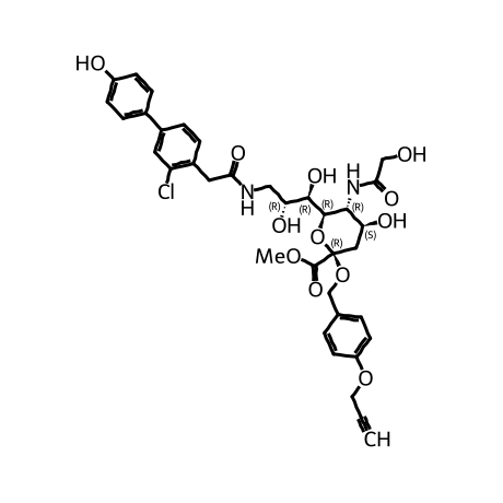 C#CCOc1ccc(CO[C@]2(C(=O)OC)C[C@H](O)[C@@H](NC(=O)CO)[C@H]([C@H](O)[C@H](O)CNC(=O)Cc3ccc(-c4ccc(O)cc4)cc3Cl)O2)cc1